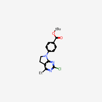 CCc1nc(Cl)nc2c1CCN2c1ccc(C(=O)OC(C)(C)C)cc1